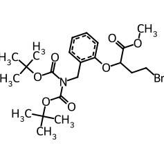 COC(=O)C(CCBr)Oc1ccccc1CN(C(=O)OC(C)(C)C)C(=O)OC(C)(C)C